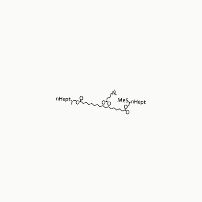 CCCCCCCC(C)COC(=O)CCCCCCCC(CCCCCCCC(=O)OCC(CCCCCCC)SC)OC(=O)CCCN(C)C